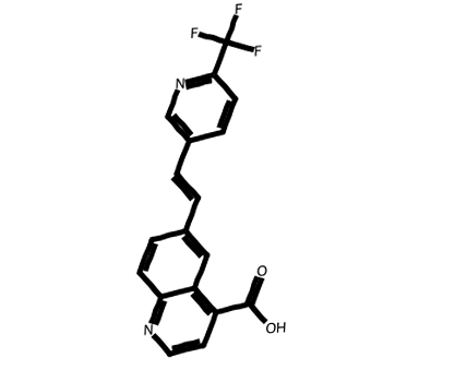 O=C(O)c1ccnc2ccc(/C=C/c3ccc(C(F)(F)F)nc3)cc12